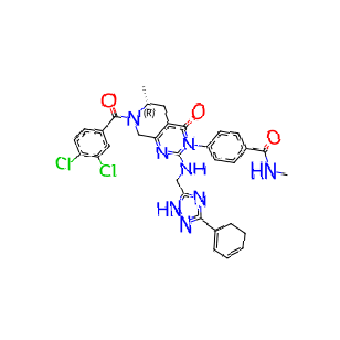 CNC(=O)c1ccc(-n2c(NCc3nc(C4=CC=CCC4)n[nH]3)nc3c(c2=O)C[C@@H](C)N(C(=O)c2ccc(Cl)c(Cl)c2)C3)cc1